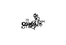 COc1cccc2[nH]c(C(=O)N[C@@H](CC(C)C)C(=O)N[C@@H](C[C@@H]3CCNC3=O)C(=O)COC(=O)[C@H]3CCCN3C)cc12